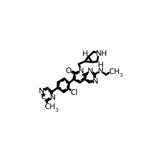 CCNc1ncc2cc(-c3ccc(-c4cncc(C)n4)cc3Cl)c(=O)n(CC3C4CNC[C@@H]43)c2n1